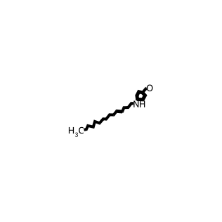 CCCCCCCCCCC=CCCCNc1ccc(C=O)cc1